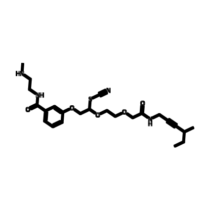 CCC(C)C#CCNC(=O)COCCOC(COc1cccc(C(=O)NCCNC)c1)SC#N